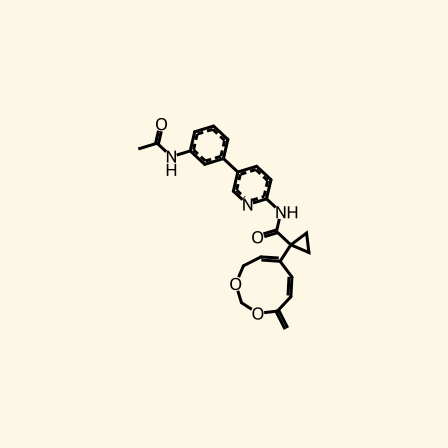 C=C1/C=C\C(C2(C(=O)Nc3ccc(-c4cccc(NC(C)=O)c4)cn3)CC2)=C/COCO1